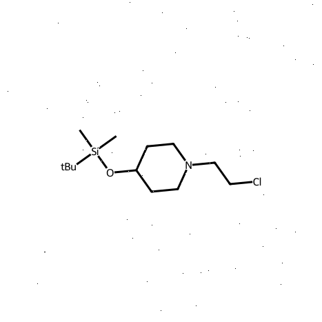 CC(C)(C)[Si](C)(C)OC1CCN(CCCl)CC1